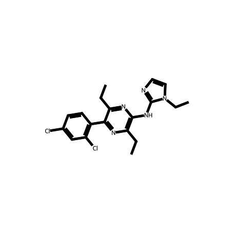 CCc1nc(-c2ccc(Cl)cc2Cl)c(CC)nc1Nc1nccn1CC